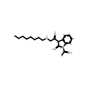 CCCCCCCCOCC(=O)C1C(=O)N(C(C)=O)c2ccccc21